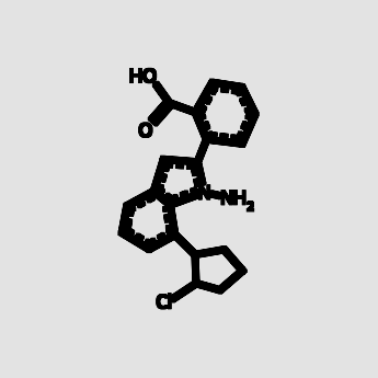 Nn1c(-c2ccccc2C(=O)O)cc2cccc(C3CCCC3Cl)c21